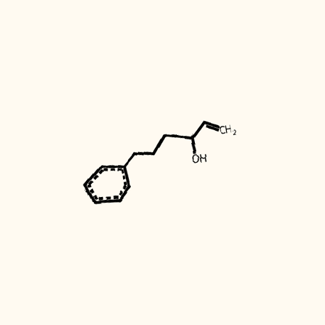 C=CC(O)CCCc1ccccc1